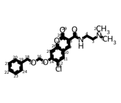 CN(C)CCNC(=O)c1cc2cc(Cl)c(OCOCc3ccccc3)cc2oc1=O